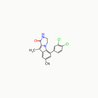 Cc1c2n(c3c(-c4ccc(Cl)c(Cl)c4)cc(C#N)cc13)CCNC2=O